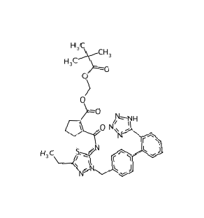 CCc1nn(Cc2ccc(-c3ccccc3-c3nnn[nH]3)cc2)c(=NC(=O)C2=C(C(=O)OCOC(=O)C(C)(C)C)CCC2)s1